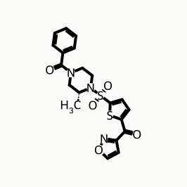 C[C@@H]1CN(C(=O)c2ccccc2)CCN1S(=O)(=O)c1ccc(C(=O)c2ccon2)s1